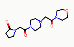 O=C(CN1CCN(C(=O)CN2CCCC2=O)CC1)N1CCOCC1